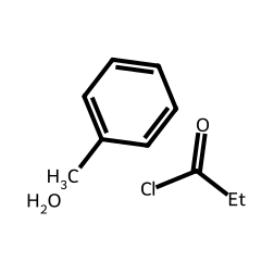 CCC(=O)Cl.Cc1ccccc1.O